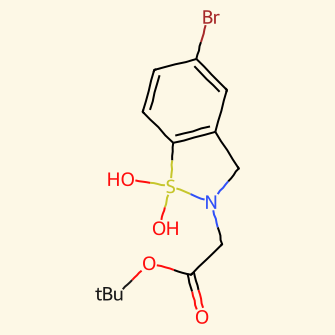 CC(C)(C)OC(=O)CN1Cc2cc(Br)ccc2S1(O)O